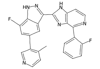 Cc1ccncc1-c1cc(F)c2[nH]nc(-c3nc4c(-c5ccccc5F)nccc4[nH]3)c2c1